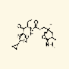 CCC(NC(=O)[CH]CC(F)(F)CC(C)C(N)=O)C(=O)c1nc(C2CC2)no1